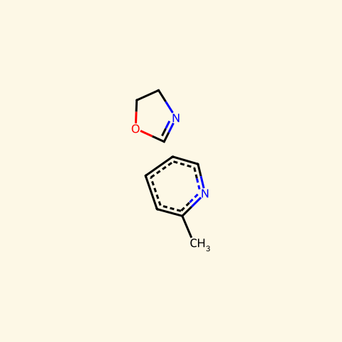 C1=NCCO1.Cc1ccccn1